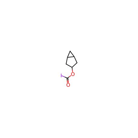 O=C(I)OC1CC2CC2C1